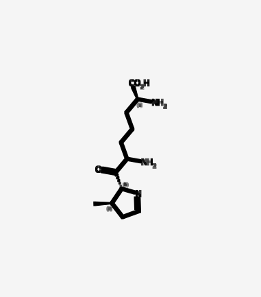 C[C@@H]1CC=N[C@H]1C(=O)C(N)CCC[C@H](N)C(=O)O